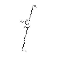 CCCCCCCCCCCCCC(=O)OC(CCCCCCCCCCC)CC(N)=O